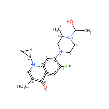 CC(O)N1CCN(c2cc3c(cc2F)c(=O)c(C(=O)O)cn3C2CC2)CC1C